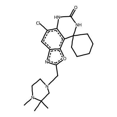 CN1CCN(Cc2nc3cc(Cl)c4c(c3o2)C2(CCCCC2)NC(=O)N4)CC1(C)C